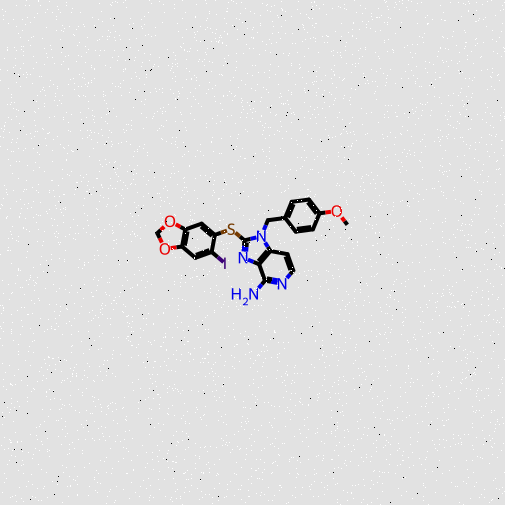 COc1ccc(Cn2c(Sc3cc4c(cc3I)OCO4)nc3c(N)nccc32)cc1